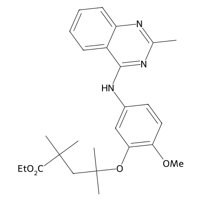 CCOC(=O)C(C)(C)CC(C)(C)Oc1cc(Nc2nc(C)nc3ccccc23)ccc1OC